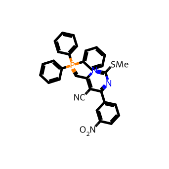 CSc1nc(C=P(c2ccccc2)(c2ccccc2)c2ccccc2)c(C#N)c(-c2cccc([N+](=O)[O-])c2)n1